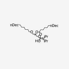 CCCCCCCCCCCCCCCCOC[C@H](COP(O)N(C(C)C)C(C)C)OC(=O)CCCCCCCCCCCCCCC